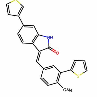 COc1ccc(C=C2C(=O)Nc3cc(-c4ccsc4)ccc32)cc1-c1cccs1